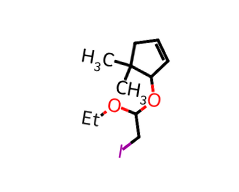 CCOC(CI)OC1C=CCC1(C)C